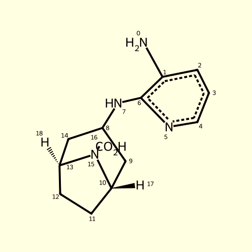 Nc1cccnc1NC1C[C@@H]2CC[C@@H](C1)N2C(=O)O